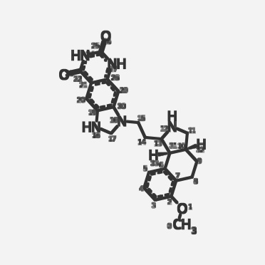 COc1cccc2c1CC[C@H]1CNC(CCN3CNc4cc5c(=O)[nH]c(=O)[nH]c5cc43)[C@@H]21